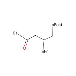 CCCCCCC(CCC)CC(=O)CC